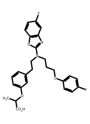 CC(Oc1cccc(CCN(CCCOc2ccc(F)cc2)c2nc3cc(F)ccc3o2)c1)C(=O)O